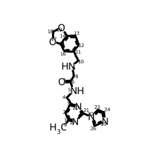 Cc1cc(CNC(=O)CNCc2ccc3c(c2)OCO3)nc(-n2ccnc2)n1